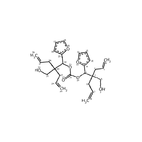 C=CCC(CO)(CC=C)C(OC(=O)OC(c1ccco1)C(CO)(CC=C)CC=C)c1ccco1